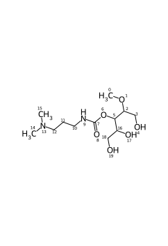 COC(CO)C(OC(=O)NCCCN(C)C)C(O)CO